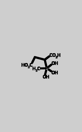 CP(O)(O)(O)C(CC(=O)O)C(=O)O